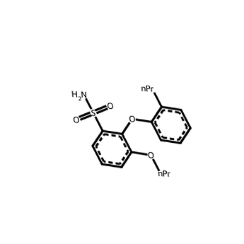 CCCOc1cccc(S(N)(=O)=O)c1Oc1ccccc1CCC